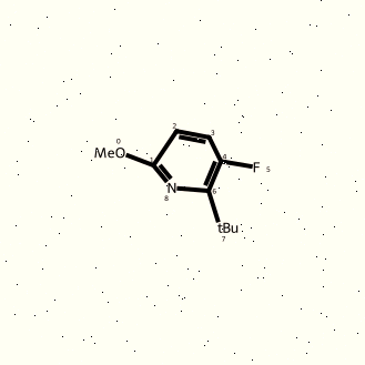 COc1ccc(F)c(C(C)(C)C)n1